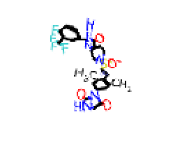 Cc1cc(N2C(=O)CNC2=O)cc(C)c1/C=C/[S+]([O-])N1CCC2(CC1)N=C(c1ccc(F)c(C(F)(F)F)c1)NC2=O